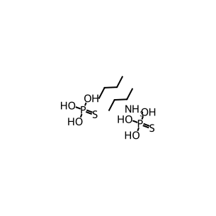 CCCC.CCCC.N.OP(O)(O)=S.OP(O)(O)=S